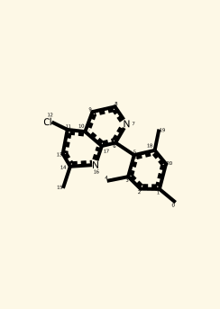 Cc1cc(C)c(-c2nccc3c(Cl)cc(C)nc23)c(C)c1